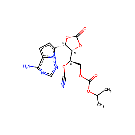 CC(C)OC(=O)OC[C@@H](OC#N)[C@H]1OC(=O)O[C@H]1c1ccc2c(N)ncnn12